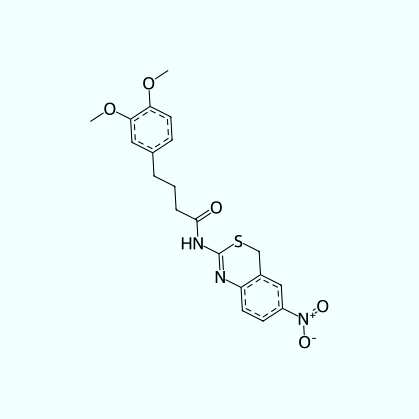 COc1ccc(CCCC(=O)NC2=Nc3ccc([N+](=O)[O-])cc3CS2)cc1OC